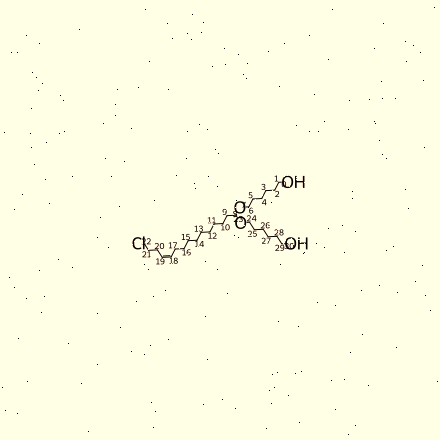 OCCCCCCOC(CCCCCCCCC/C=C\CCCl)OCCCCCCO